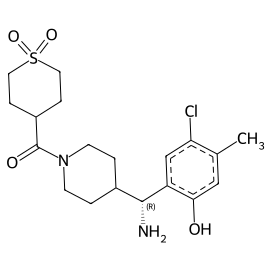 Cc1cc(O)c([C@H](N)C2CCN(C(=O)C3CCS(=O)(=O)CC3)CC2)cc1Cl